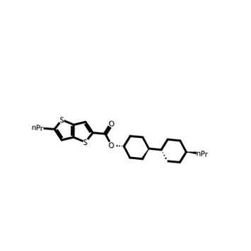 CCCc1cc2sc(C(=O)O[C@H]3CC[C@H]([C@H]4CC[C@H](CCC)CC4)CC3)cc2s1